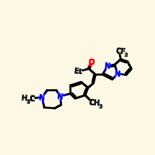 CCC(=O)/C(=C\c1ccc(N2CCCN(C)CC2)cc1C)c1cn2cccc(C(F)(F)F)c2n1